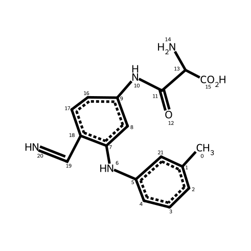 Cc1cccc(Nc2cc(NC(=O)C(N)C(=O)O)ccc2C=N)c1